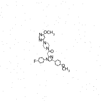 COc1ccc(-c2cn(-c3ccc(F)cc3)c(CC(=O)N3CCN(c4cc(OC)ncn4)CC3)n2)cc1